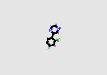 Fc1ccc(-c2[c]nccn2)c(Cl)c1